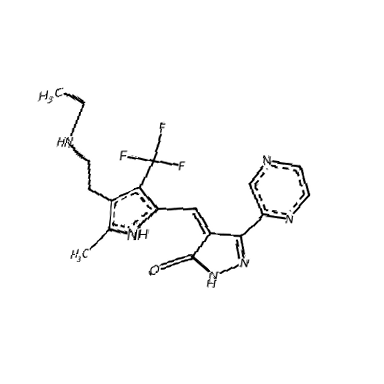 CCNCCc1c(C)[nH]c(C=C2C(=O)NN=C2c2cnccn2)c1C(F)(F)F